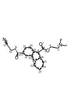 CN(C)CCOC(=O)c1c2ccc(C(=O)CCC#N)cc2n2ccccc12